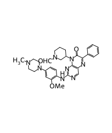 COc1cc(N2CCN(C)CC2)ccc1Nc1ncc2nc(-c3ccccc3)c(=O)n(C3CCCN(C=O)C3)c2n1